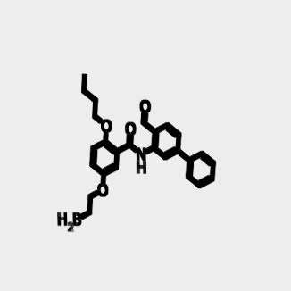 BCCOc1ccc(OCCCC)c(C(=O)Nc2cc(-c3ccccc3)ccc2C=O)c1